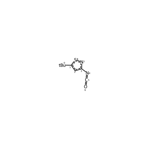 CC(C)(C)c1cc(N=C=O)ns1